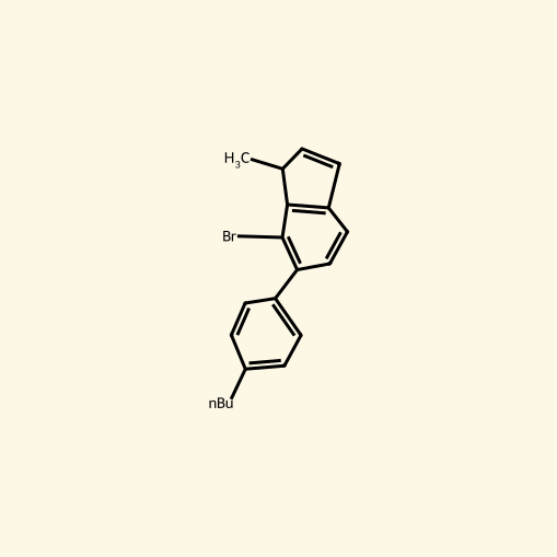 CCCCc1ccc(-c2ccc3c(c2Br)C(C)C=C3)cc1